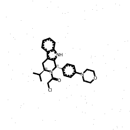 CC(C)[C@H]1Cc2c([nH]c3ccccc23)[C@H](c2ccc(N3CCOCC3)cc2)N1C(=O)CCl